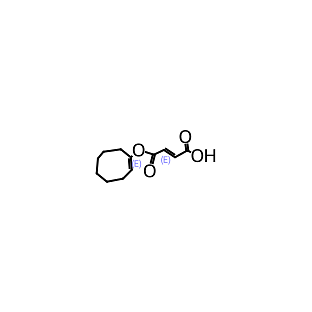 O=C(O)/C=C/C(=O)O/C1=C/CCCCCC1